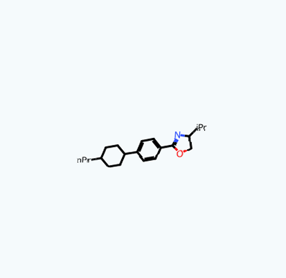 CCCC1CCC(c2ccc(C3=NC(C(C)C)CO3)cc2)CC1